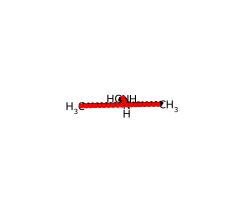 CCCCCCCCCCCCCCCCCCCC(=O)NCCCCCCCCCCCCCCCC.NCCO